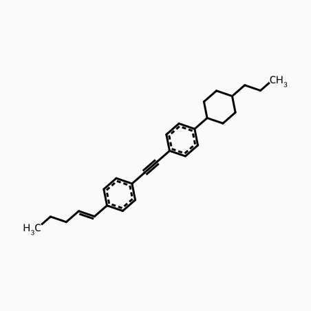 CCCC=Cc1ccc(C#Cc2ccc(C3CCC(CCC)CC3)cc2)cc1